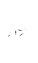 CC(C)c1ccc(OC(=O)Cl)cc1